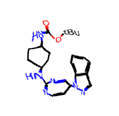 CC(C)(C)OC(=O)NC1CCC(Nc2nccc(-n3ncc4ccccc43)n2)CC1